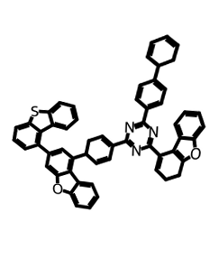 C1=CCC(c2ccc(-c3nc(C4=CCC(c5cc(-c6cccc7sc8ccccc8c67)cc6oc7ccccc7c56)C=C4)nc(C4=CCCc5oc6ccccc6c54)n3)cc2)C=C1